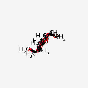 C=COCCCC(C)CCOc1ccc(C(=O)Oc2ccc(OC(=O)c3ccc(OCCC(C)CCCOC=C)c(C)c3)c(C)c2C)cc1C